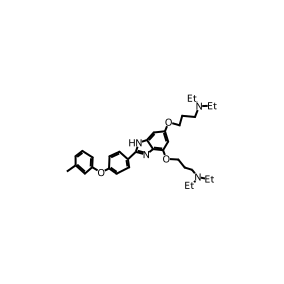 CCN(CC)CCCOc1cc(OCCCN(CC)CC)c2nc(-c3ccc(Oc4cccc(C)c4)cc3)[nH]c2c1